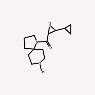 CC(C)N1CCC2(CCCN2C(=O)C2NC2C2CC2)CC1